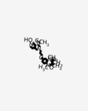 CN(CCN(CCCOc1ccc2c(c1)N(C)C(=O)C(C)(C)C(=O)N2C)Cc1ccncc1)C(=O)O